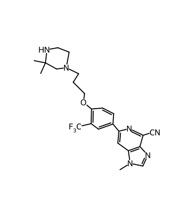 Cn1cnc2c(C#N)nc(-c3ccc(OCCCN4CCNC(C)(C)C4)c(C(F)(F)F)c3)cc21